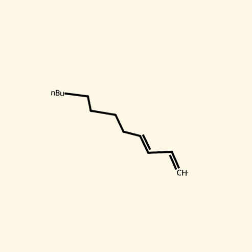 [CH]=CC=CCCCCCCC[CH2]